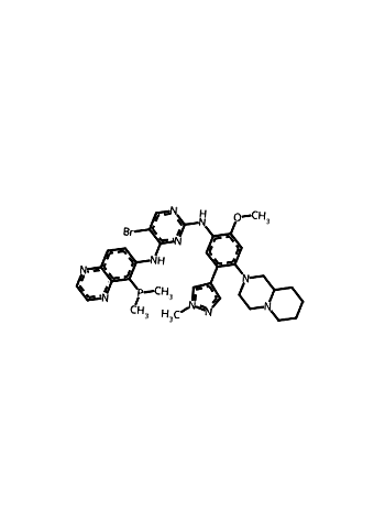 COc1cc(N2CCN3CCCCC3C2)c(-c2cnn(C)c2)cc1Nc1ncc(Br)c(Nc2ccc3nccnc3c2P(C)C)n1